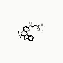 CN(C)CCNc1ccc2[nH]c(=O)c3nc4ccccc4n3c2n1